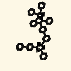 c1ccc(-c2ccc(-c3nc(-c4ccccc4)nc(-c4cccc(-c5ccc(-c6c(-c7ccccc7)n7nc(-c8ccccc8)c(-c8ccccc8)c7c7ccccc67)cc5)c4)n3)cc2)cc1